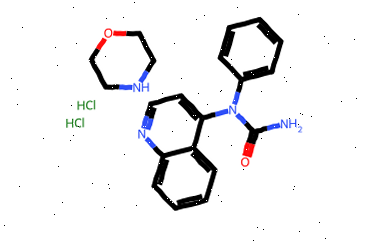 C1COCCN1.Cl.Cl.NC(=O)N(c1ccccc1)c1ccnc2ccccc12